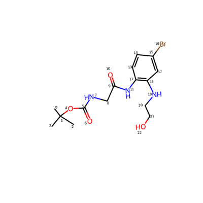 CC(C)(C)OC(=O)NCC(=O)Nc1ccc(Br)cc1NCCO